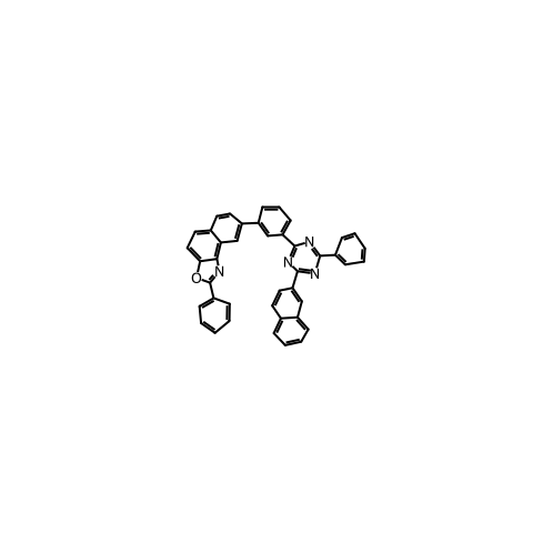 c1ccc(-c2nc(-c3cccc(-c4ccc5ccc6oc(-c7ccccc7)nc6c5c4)c3)nc(-c3ccc4ccccc4c3)n2)cc1